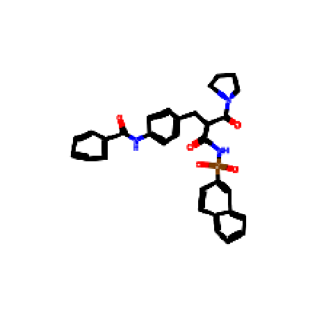 O=C(Nc1ccc(CC(C(=O)NS(=O)(=O)c2ccc3ccccc3c2)C(=O)N2CCCC2)cc1)c1ccccc1